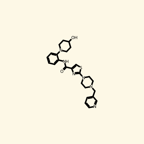 O=C(Nc1ccccc1N1CCC(O)CC1)c1csc(N2CCN(Cc3cccnc3)CC2)n1